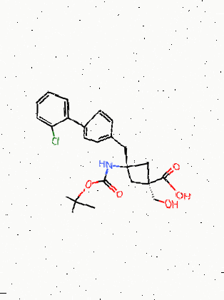 CC(C)(C)OC(=O)N[C@]1(Cc2ccc(-c3ccccc3Cl)cc2)C[C@@](CO)(C(=O)O)C1